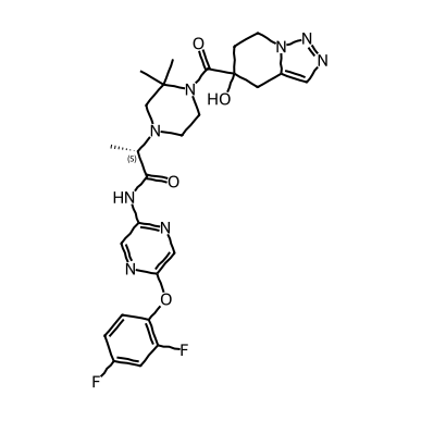 C[C@@H](C(=O)Nc1cnc(Oc2ccc(F)cc2F)cn1)N1CCN(C(=O)C2(O)CCn3nncc3C2)C(C)(C)C1